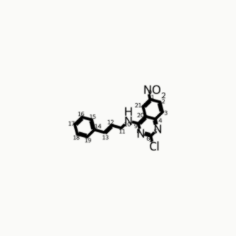 O=[N+]([O-])c1ccc2nc(Cl)nc(NC/C=C/c3ccccc3)c2c1